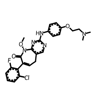 CON1C(=O)C(c2c(F)cccc2Cl)=CCc2cnc(Nc3ccc(OCCN(C)C)cc3)nc21